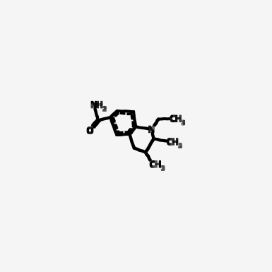 CCN1c2ccc(C(N)=O)cc2CC(C)C1C